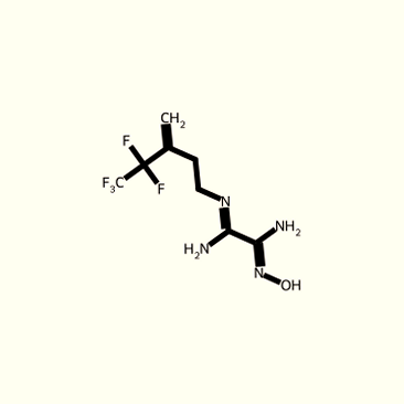 C=C(CC/N=C(N)/C(N)=N/O)C(F)(F)C(F)(F)F